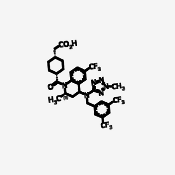 C[C@@H]1CC(N(Cc2cc(C(F)(F)F)cc(C(F)(F)F)c2)c2nnn(C)n2)c2cc(C(F)(F)F)ccc2N1C(=O)[C@H]1CC[C@@H](CC(=O)O)CC1